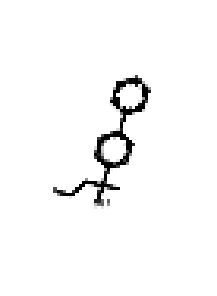 CC(O)(CCF)c1ccc(-c2ccccc2)cc1